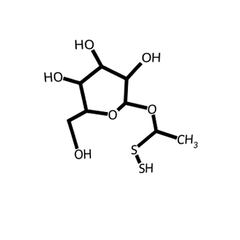 CC(OC1OC(CO)C(O)C(O)C1O)SS